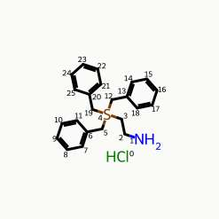 Cl.NCCS(Cc1ccccc1)(Cc1ccccc1)Cc1ccccc1